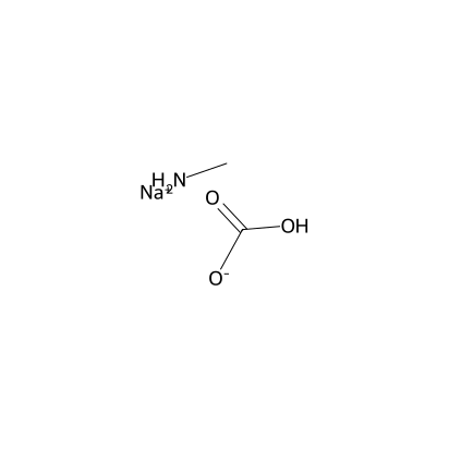 CN.O=C([O-])O.[Na+]